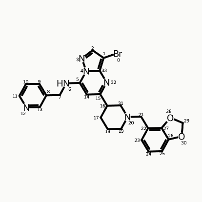 Brc1cnn2c(NCc3cccnc3)cc(C3CCCN(Cc4cccc5c4OCO5)C3)nc12